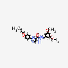 CCCCOc1ccc(-c2nccc(C(=O)N/N=C/c3cc(OC)cc(OC)c3)n2)cc1